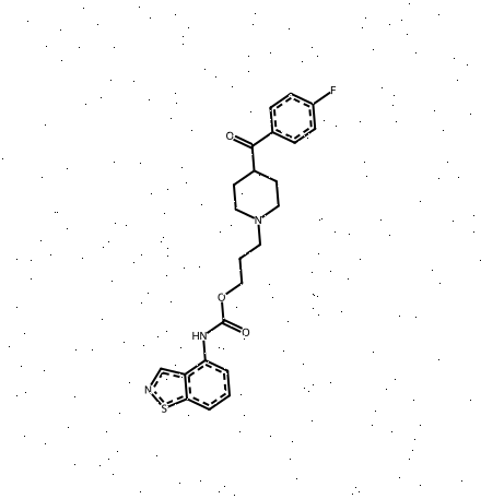 O=C(Nc1cccc2sncc12)OCCCN1CCC(C(=O)c2ccc(F)cc2)CC1